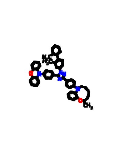 C=C1/C=C\C=C/CN(c2ccc(-c3nc(-c4ccc(N5c6ccccc6Oc6ccccc65)cc4)n(-c4ccc(-c5ccccc5C)c(C)c4)n3)cc2)c2ccccc2O1